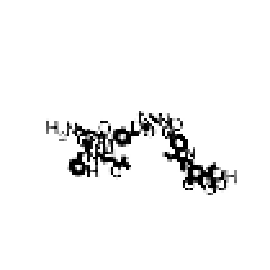 CCc1c2c(nc3ccc(OC(=O)N(C)CCN(C)C(=O)OCc4ccc(NC(=O)[C@H](CCCN)NC(=O)[C@H](Cc5ccccc5)NC(=O)CCC(=O)C(C)C)cc4)cc13)-c1cc3c(c(=O)n1C2)COC(=O)[C@]3(O)CC